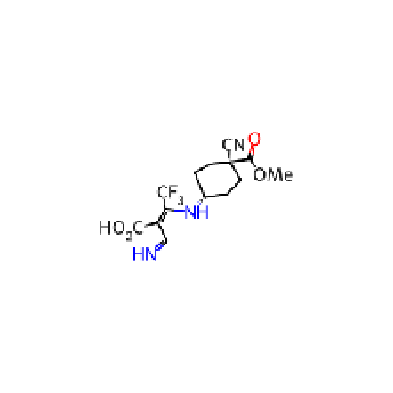 COC(=O)[C@]1(C#N)CC[C@H](N/C(=C(\C=N)C(=O)O)C(F)(F)F)CC1